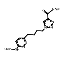 CNC(=O)c1cn(CCCCc2ccc(NC=O)nn2)nn1